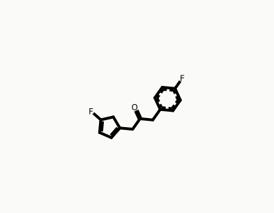 O=C(CC1=CC=C(F)C1)Cc1ccc(F)cc1